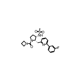 CS(=O)(=O)N[C@H]1CCN(C(=O)N2CCC2)[C@H]1Cc1cccc(-c2cccc(F)c2)n1